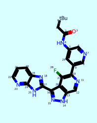 CC(C)(C)CC(=O)Nc1cncc(-c2ncc3[nH]nc(-c4nc5cccnc5[nH]4)c3c2F)c1